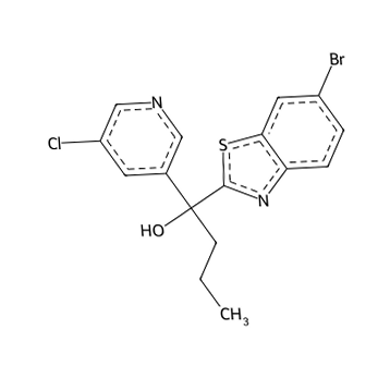 CCCC(O)(c1cncc(Cl)c1)c1nc2ccc(Br)cc2s1